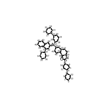 c1ccc(-c2ccc(-c3nc4ccc5cc(N(c6cccc(-c7ccccc7)c6)c6cc(-c7ccccc7)c7ccccc7c6)ccc5c4o3)cc2)cc1